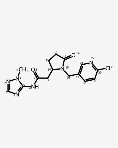 Cn1ncnc1NC(=O)CC1CCC(=O)N1Cc1ccc(Cl)nc1